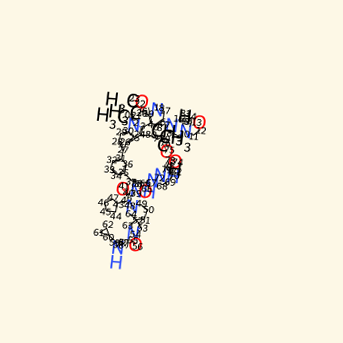 CCn1c(-c2cc(N3CCN4CCOC[C@@H]4C3)cnc2[C@H](C)OC)c2c3cc(ccc31)-c1cccc(c1)C[C@H](NC(=O)C(C1CCCC1)N1CCCC3(CN(C(=O)[C@@H]4NC4C4CC4)C3)C1)C(=O)N1CCC[C@H](N1)C(=O)OCC(C)(C)C2